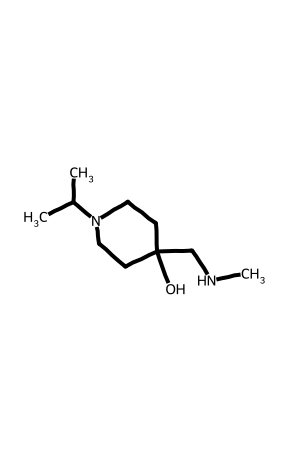 CNCC1(O)CCN(C(C)C)CC1